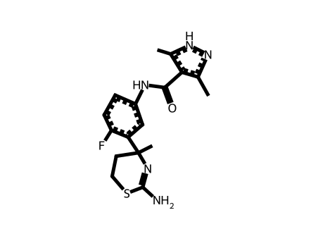 Cc1n[nH]c(C)c1C(=O)Nc1ccc(F)c(C2(C)CCSC(N)=N2)c1